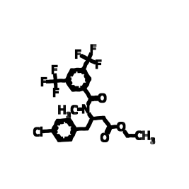 CCOC(=O)CC(Cc1ccc(Cl)cc1)N(C)C(=O)c1cc(C(F)(F)F)cc(C(F)(F)F)c1